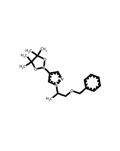 CC(COCc1ccccc1)n1cc(B2OC(C)(C)C(C)(C)O2)cn1